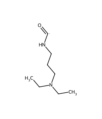 CCN(CC)CCCN[C]=O